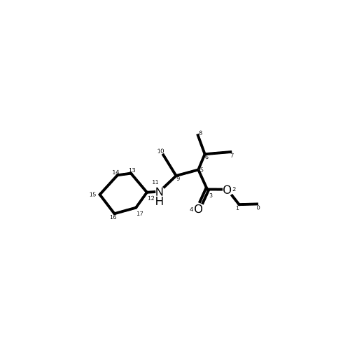 CCOC(=O)C(C(C)C)C(C)NC1CCCCC1